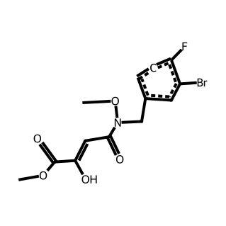 COC(=O)/C(O)=C/C(=O)N(Cc1ccc(F)c(Br)c1)OC